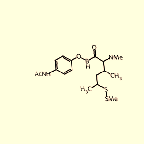 CNC(C(=O)BOc1ccc(NC(C)=O)cc1)C(C)CC(C)SSC